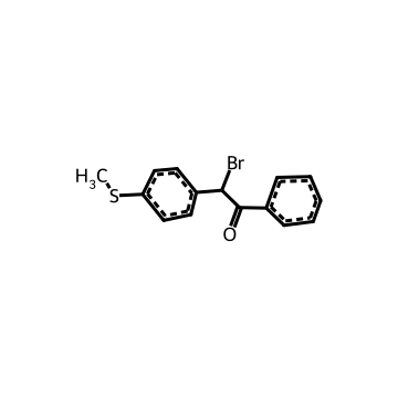 CSc1ccc(C(Br)C(=O)c2ccccc2)cc1